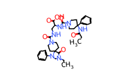 CCC(=O)NC1(c2ccccc2)CCN(C(=O)NC(CNC(=O)N2CCC3(CC2)C(=O)N(CC)CN3c2ccccc2)C(=O)O)CC1